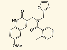 COc1ccc2[nH]c(=O)c(CN(Cc3ccco3)C(=O)c3ccccc3C)cc2c1